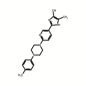 Cc1ccc(N2CCN(c3ccc(-c4nc(C#N)c(C)[nH]4)cn3)CC2)cc1